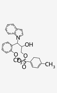 CC1=CC=C(S(=O)(=O)OCC(O)C(c2ccccc2OC(F)(F)F)n2ccc3ccccc32)CC1